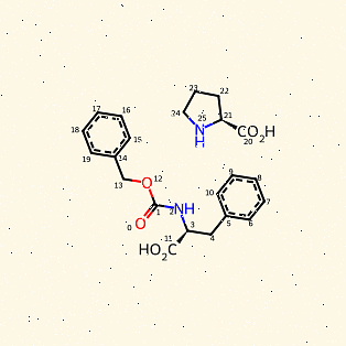 O=C(N[C@@H](Cc1ccccc1)C(=O)O)OCc1ccccc1.O=C(O)[C@@H]1CCCN1